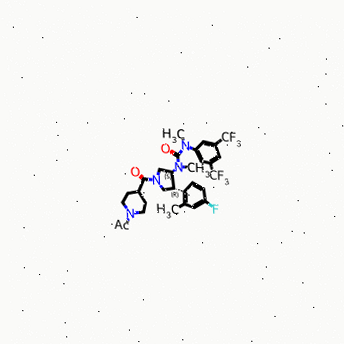 CC(=O)N1CCC(C(=O)N2C[C@@H](N(C)C(=O)N(C)c3cc(C(F)(F)F)cc(C(F)(F)F)c3)[C@H](c3ccc(F)cc3C)C2)CC1